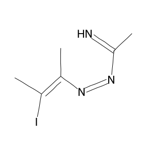 CC(=N)/N=N\C(C)=C(C)I